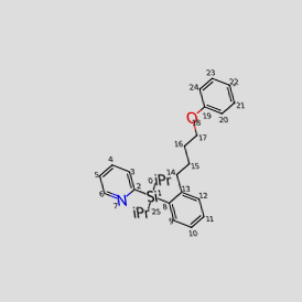 CC(C)[Si](c1ccccn1)(c1ccccc1CCCCOc1cc[c]cc1)C(C)C